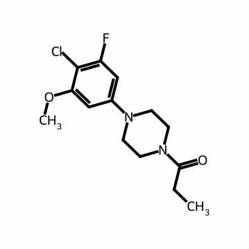 CCC(=O)N1CCN(c2cc(F)c(Cl)c(OC)c2)CC1